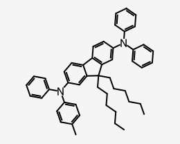 CCCCCCC1(CCCCCC)c2cc(N(c3ccccc3)c3ccccc3)ccc2-c2ccc(N(c3ccccc3)c3ccc(C)cc3)cc21